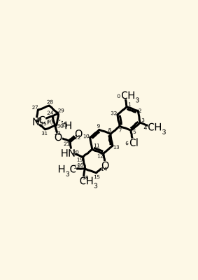 Cc1cc(C)c(Cl)c(-c2ccc3c(c2)OCC(C)(C)C3NC(=O)O[C@H]2CN3CCC2CC3)c1